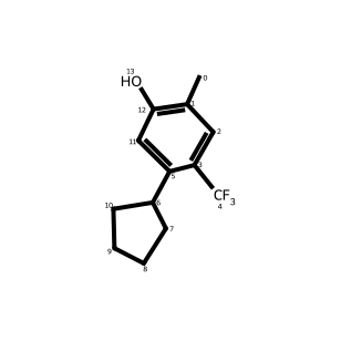 Cc1cc(C(F)(F)F)c(C2CCCC2)cc1O